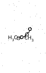 CCOc1ccc(C(C)=COCCc2ccccc2)cc1